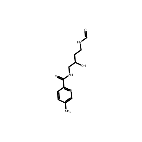 Cc1ccc(C(=O)NCC(O)CCNC=O)nc1